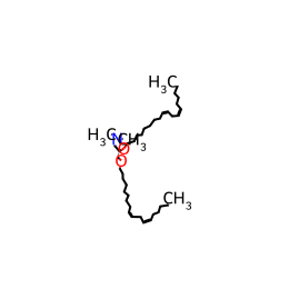 CCCCC/C=C\C/C=C\CCCCCCCCOC[C@H](CN(C)C)OCCCCCCCC/C=C\C/C=C\CCCCC